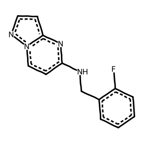 Fc1ccccc1CNc1ccn2nccc2n1